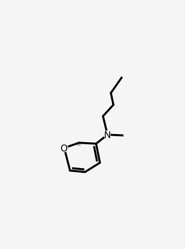 CCCCN(C)C1=CC=CO[C]1